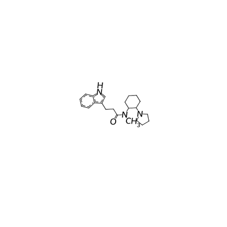 CN(C(=O)CCc1c[nH]c2ccccc12)C1CCCCC1N1CCCC1